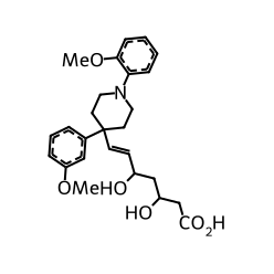 COc1cccc(C2(C=CC(O)CC(O)CC(=O)O)CCN(c3ccccc3OC)CC2)c1